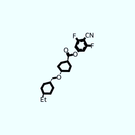 CC[C@H]1CC[C@H](CO[C@H]2CC[C@H](C(=O)Oc3cc(F)c(C#N)c(F)c3)CC2)CC1